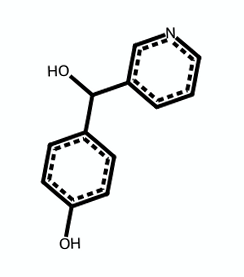 Oc1ccc(C(O)c2cccnc2)cc1